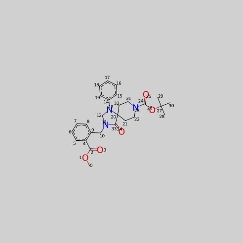 COC(=O)c1ccccc1CN1CN(c2ccccc2)C2(CCN(C(=O)OC(C)(C)C)CC2)C1=O